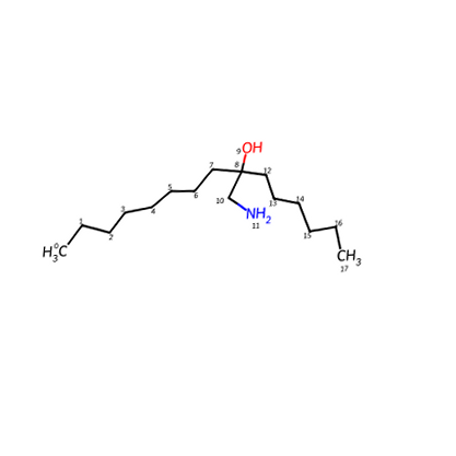 CCCCCCCCC(O)(CN)CCCCCC